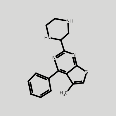 Cc1csc2nc(C3CNCCN3)nc(-c3ccccc3)c12